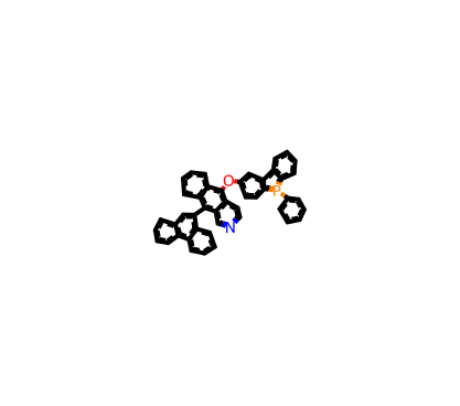 c1ccc(-p2c3ccccc3c3cc(Oc4c5ccccc5c(-c5cc6ccccc6c6ccccc56)c5cnccc45)ccc32)cc1